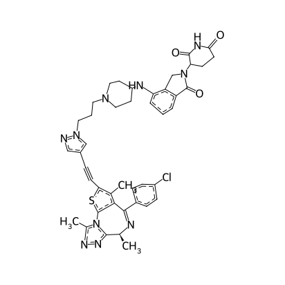 Cc1c(C#Cc2cnn(CCCN3CCC(Nc4cccc5c4CN(C4CCC(=O)NC4=O)C5=O)CC3)c2)sc2c1C(c1ccc(Cl)cc1)=N[C@@H](C)c1nnc(C)n1-2